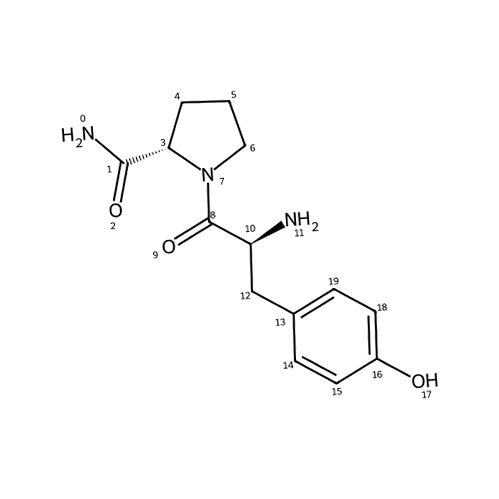 NC(=O)[C@@H]1CCCN1C(=O)[C@@H](N)Cc1ccc(O)cc1